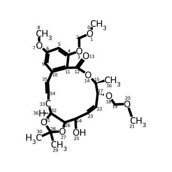 COCOc1cc(OC)cc2c1C(=O)O[C@@H](C)[C@H](OCOC)/C=C\C(O)C1OC(C)(C)O[C@H]1C/C=C/2